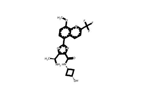 COc1ccc(-c2nc(C(=O)N[C@H]3C[C@@H](O)C3)c([C@H](C)N)o2)c2ccc(C(F)(F)F)nc12